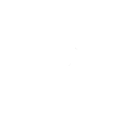 CCn1c2ccccc2c2cc(-c3cccc4cccc(-c5ccccc5)c34)ccc21